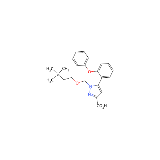 C[Si](C)(C)CCOCn1nc(C(=O)O)cc1-c1ccccc1Oc1ccccc1